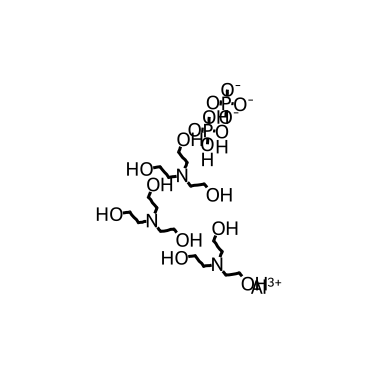 O=P(O)(O)O.O=P([O-])([O-])[O-].OCCN(CCO)CCO.OCCN(CCO)CCO.OCCN(CCO)CCO.[Al+3]